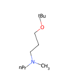 CCCN(C)CCCOC(C)(C)C